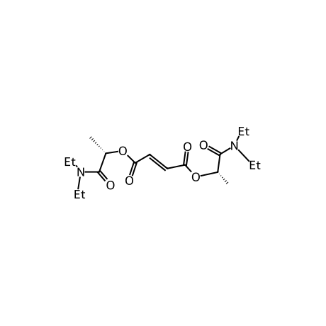 CCN(CC)C(=O)[C@H](C)OC(=O)/C=C/C(=O)O[C@@H](C)C(=O)N(CC)CC